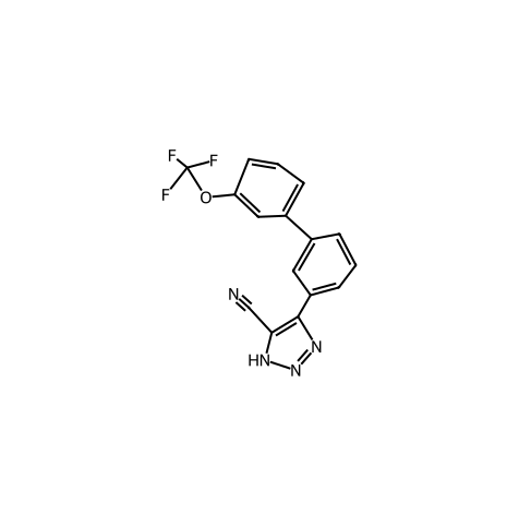 N#Cc1[nH]nnc1-c1cccc(-c2cccc(OC(F)(F)F)c2)c1